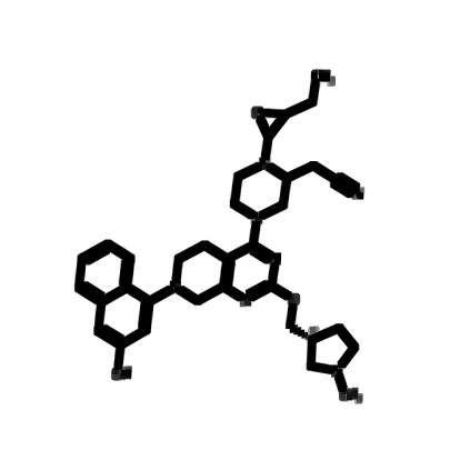 CCC1OC1N1CCN(c2nc(OC[C@@H]3CCN(C)C3)nc3c2CCN(c2cc(O)cc4ccccc24)C3)CC1CC#N